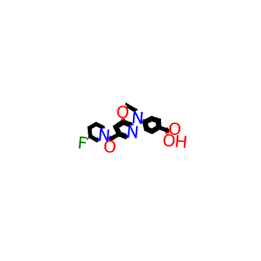 O=C(O)c1ccc(N2CCOc3cc(C(=O)N4CCC[C@@H](F)C4)cnc32)cc1